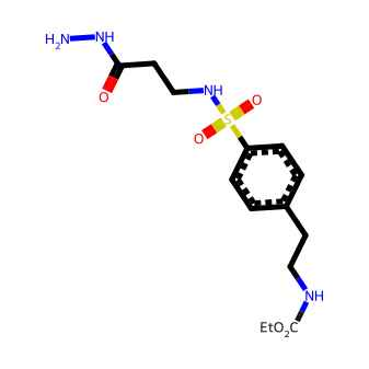 CCOC(=O)NCCc1ccc(S(=O)(=O)NCCC(=O)NN)cc1